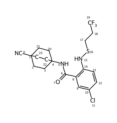 N#CC12CCC(NC(=O)c3cc(Cl)ccc3NSCCC(F)(F)F)(CC1)CC2